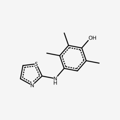 Cc1cc(Nc2nccs2)c(C)c(C)c1O